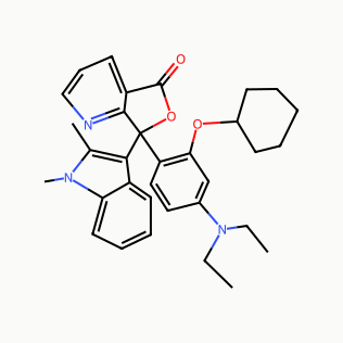 CCN(CC)c1ccc(C2(c3c(C)n(C)c4ccccc34)OC(=O)c3cccnc32)c(OC2CCCCC2)c1